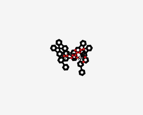 Cc1cccc2c1oc1c(-c3ccc(N(c4ccc5c(c4)C4(c6ccccc6-c6ccccc64)c4ccccc4-5)c4ccccc4-c4cccc(-c5ccc6c(c5)C5(c7ccccc7-6)c6ccccc6-c6ccc(N(c7ccc(-c8ccccc8)cc7)c7ccc(-c8cccc9c8oc8c(-c%10ccccc%10)cccc89)cc7)cc65)c4)cc3)cccc12